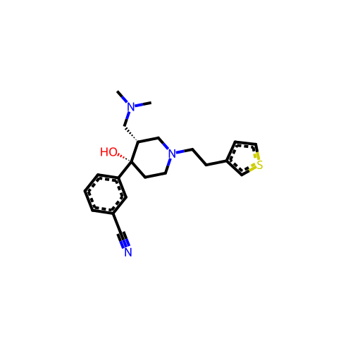 CN(C)C[C@@H]1CN(CCc2ccsc2)CC[C@@]1(O)c1cccc(C#N)c1